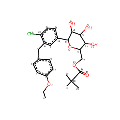 CCOc1ccc(Cc2cc(C3OC(COC(=O)C(C)(C)C)C(O)C(O)C3O)ccc2Cl)cc1